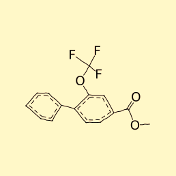 COC(=O)c1ccc(-c2ccccc2)c(OC(F)(F)F)c1